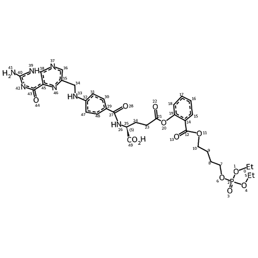 CCOP(=O)(OCC)OCCCCOC(=O)c1ccccc1OC(=O)CC[C@H](NC(=O)c1ccc(NCc2cnc3[nH]c(N)nc(=O)c3n2)cc1)C(=O)O